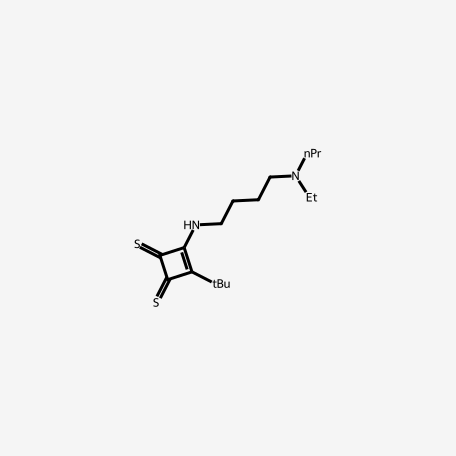 CCCN(CC)CCCCNc1c(C(C)(C)C)c(=S)c1=S